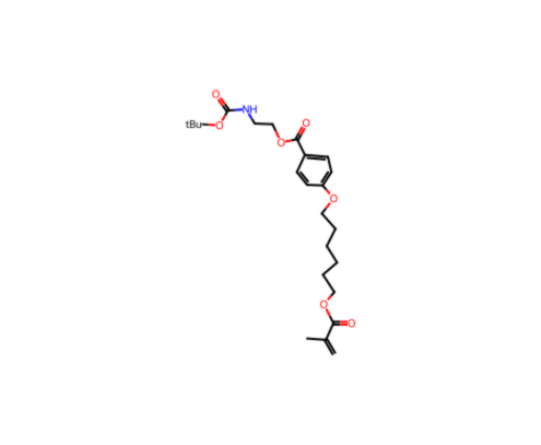 C=C(C)C(=O)OCCCCCCOc1ccc(C(=O)OCCNC(=O)OC(C)(C)C)cc1